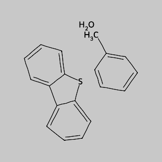 Cc1ccccc1.O.c1ccc2c(c1)sc1ccccc12